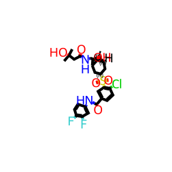 C[C@@H]1CC2C[C@@H](S(=O)(=O)c3cc(C(=O)Nc4ccc(F)c(F)c4)ccc3Cl)C[C@H]1[C@@]2(O)CNC(=O)CC(C)(C)O